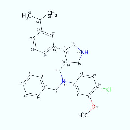 COc1cc(N(Cc2ccccc2)C[C@H]2CNC[C@H]2c2cccc(C(C)C)c2)ccc1Cl